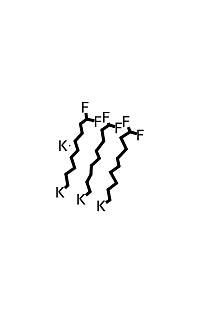 FC(F)CCCCCCC[CH2][K].FC(F)CCCCCCC[CH2][K].FC(F)CCCCCCC[CH2][K].[K]